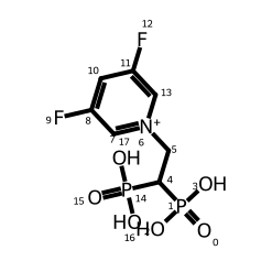 O=P(O)(O)C(C[n+]1cc(F)cc(F)c1)P(=O)(O)O